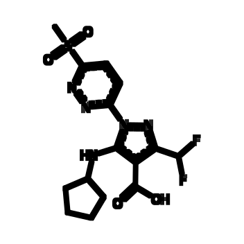 CS(=O)(=O)c1ccc(-n2nc(C(F)F)c(C(=O)O)c2NC2CCCC2)nn1